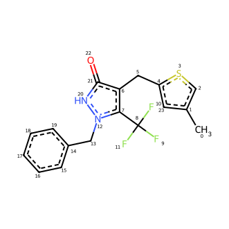 Cc1csc(Cc2c(C(F)(F)F)n(Cc3ccccc3)[nH]c2=O)c1